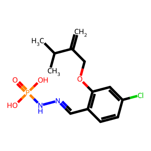 C=C(COc1cc(Cl)ccc1C=NNP(=O)(O)O)C(C)C